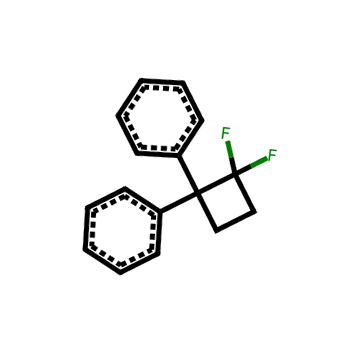 FC1(F)CCC1(c1ccccc1)c1ccccc1